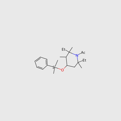 CCC1(C)CC(O[Si](C)(C)c2ccccc2)C(C)C(C)(CC)N1C(C)=O